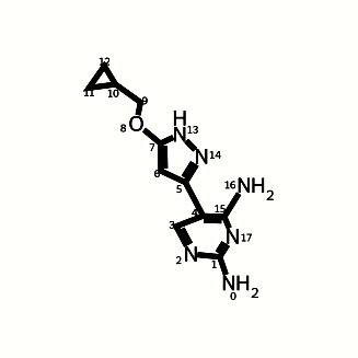 Nc1ncc(-c2cc(OCC3CC3)[nH]n2)c(N)n1